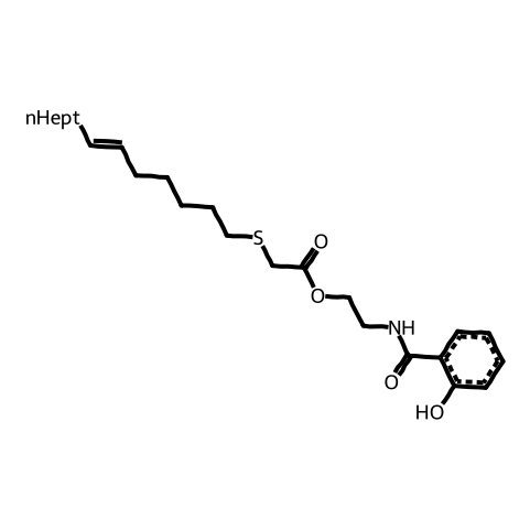 CCCCCCCC=CCCCCCSCC(=O)OCCNC(=O)c1ccccc1O